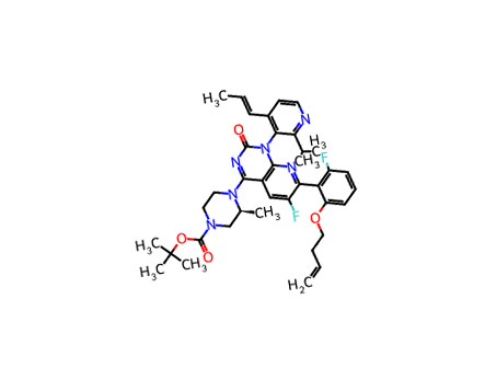 C=CCCOc1cccc(F)c1-c1nc2c(cc1F)c(N1CCN(C(=O)OC(C)(C)C)C[C@@H]1C)nc(=O)n2-c1c(/C=C/C)ccnc1C(C)C